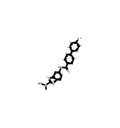 CC(C)N(C)c1nc2ccc(NC(=O)c3ccc(-c4ccc(F)cc4)cc3)cc2s1